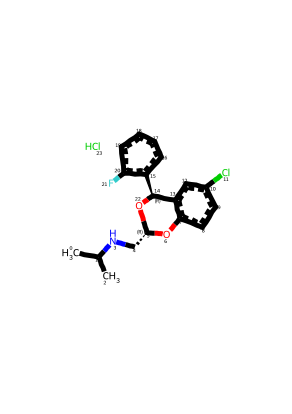 CC(C)NC[C@H]1Oc2ccc(Cl)cc2[C@H](c2ccccc2F)O1.Cl